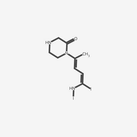 C/C(=C\C=C(\I)NI)N1CCNCC1=O